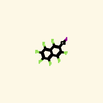 Fc1c(F)c(F)c2c(F)[c]([Ca][I])c(F)c(F)c2c1F